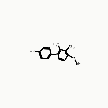 CCCCCc1ccc(-c2ccc(OCCC)c(C)c2C)cc1